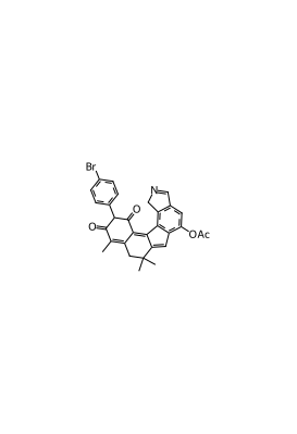 CC(=O)Oc1cc2c(c3c1C=C1C3=C3C(=O)C(c4ccc(Br)cc4)C(=O)C(C)=C3CC1(C)C)CN=C2